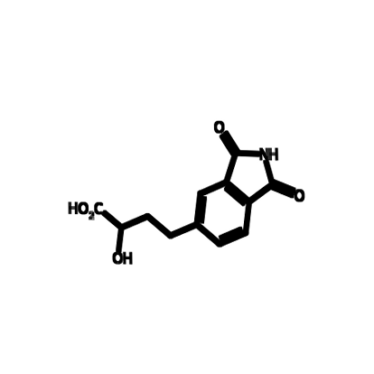 O=C1NC(=O)c2cc(CCC(O)C(=O)O)ccc21